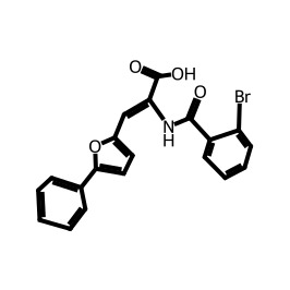 O=C(O)C(=Cc1ccc(-c2ccccc2)o1)NC(=O)c1ccccc1Br